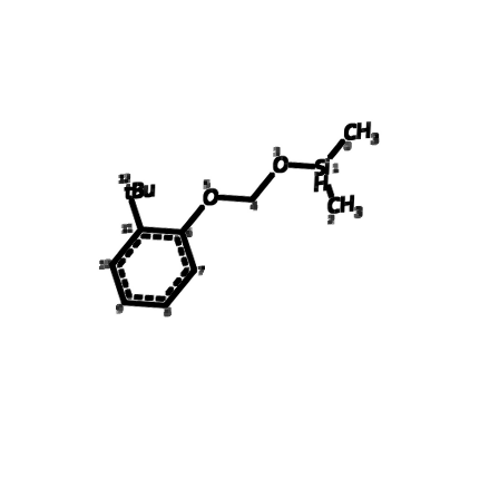 C[SiH](C)OCOc1ccccc1C(C)(C)C